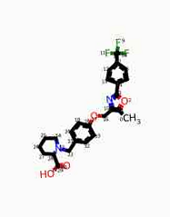 Cc1oc(-c2ccc(C(F)(F)F)cc2)nc1COc1ccc(CN2CCCCC2C(=O)O)cc1